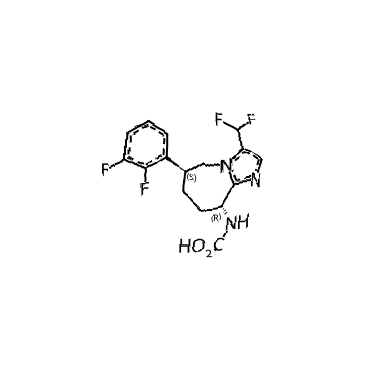 O=C(O)N[C@@H]1CC[C@@H](c2cccc(F)c2F)Cn2c(C(F)F)cnc21